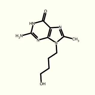 Cc1nc2c(=O)[nH]c(N)nc2n1CCCCO